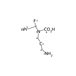 CCCC(F)N(CCCN)C(=O)O